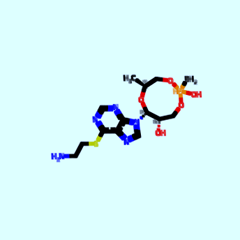 B[PH]1(O)OC[C@H](C)O[C@@H](n2cnc3c(SCCN)ncnc32)[C@@H](O)CO1